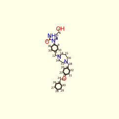 NC(=O)N(CCCO)c1ccc(CN2CCCN(Cc3ccc(OCc4ccccc4)cc3)CC2)cc1